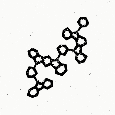 c1ccc(-n2c3ccccc3c3c2ccc2c4ccccc4n(-c4cccc(-n5c6ccccc6c6cc7c(cc65)c5ccccc5n7-c5cccc(-n6c7ccccc7c7ccccc76)c5)c4)c23)cc1